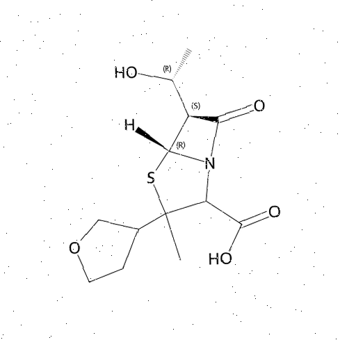 C[C@@H](O)[C@H]1C(=O)N2C(C(=O)O)C(C)(C3CCOC3)S[C@H]12